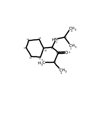 CC(C)NC(C(=O)C(C)C)C1CCCCC1